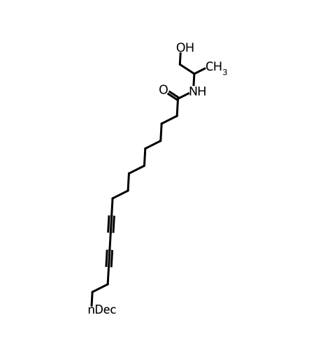 CCCCCCCCCCCCC#CC#CCCCCCCCCC(=O)NC(C)CO